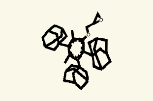 Cc1c(OCC2CO2)c(C23CC4CC(CC(C4)C2)C3)c(C23CC4CC(CC(C4)C2)C3)c(C)c1C12CC3CC(CC(C3)C1)C2